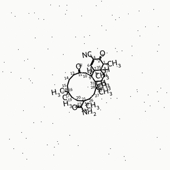 C[C@@H]1C(=O)C(C#N)=C[C@]2(C)[C@H]3CC(=O)CCCC(C)(C)CC[C@](C)(C(N)=O)CCC(C)(C)[C@]3(C)CC[C@@H]12